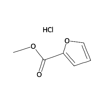 COC(=O)c1ccco1.Cl